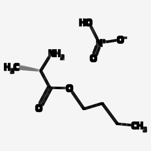 CCCCOC(=O)[C@H](C)N.O=[N+]([O-])O